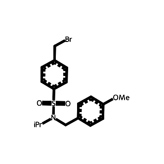 COc1ccc(CN(C(C)C)S(=O)(=O)c2ccc(CBr)cc2)cc1